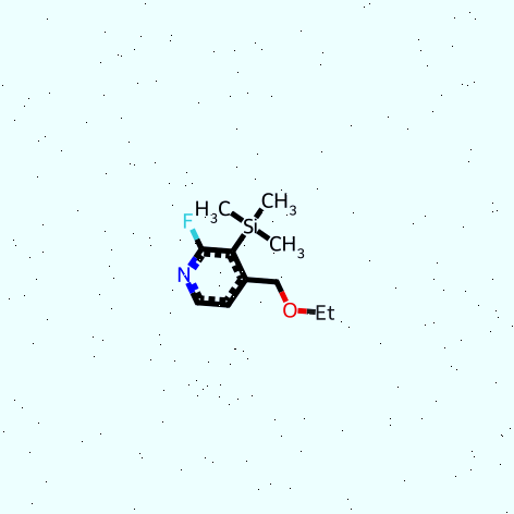 CCOCc1ccnc(F)c1[Si](C)(C)C